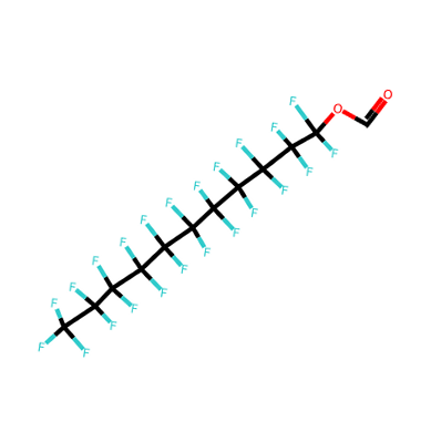 O=[C]OC(F)(F)C(F)(F)C(F)(F)C(F)(F)C(F)(F)C(F)(F)C(F)(F)C(F)(F)C(F)(F)C(F)(F)C(F)(F)F